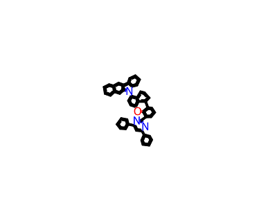 c1ccc(-c2cc(-c3ccccc3)nc(-c3cccc4c3Oc3ccc(-n5c6ccccc6c6cc7ccccc7cc65)c5cccc-4c35)n2)cc1